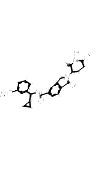 N#Cc1cccc(C(NC(=O)c2ccc3c(c2)CN(C2CCC(=O)NC2=O)C3=O)C2CC2)c1